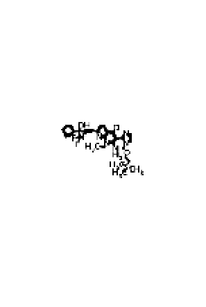 CCn1c(N)c(-c2nccn2COCC[Si](C)(C)C)c(=O)c2ccc(C#CC(O)(c3ccccc3)C(F)(F)F)nc21